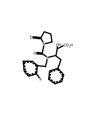 O=C(O)C(O)C(Cc1ccccc1)N(Cc1ccccc1F)C(=O)N1CCCC1=O